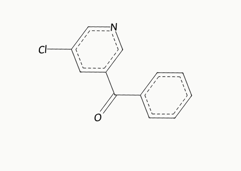 O=C(c1ccccc1)c1cncc(Cl)c1